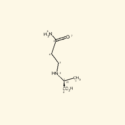 C[C@H](NCCC(N)=O)C(=O)O